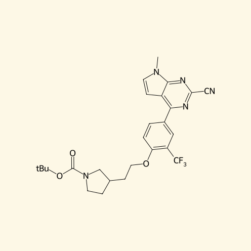 Cn1ccc2c(-c3ccc(OCCC4CCN(C(=O)OC(C)(C)C)C4)c(C(F)(F)F)c3)nc(C#N)nc21